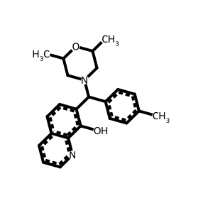 Cc1ccc(C(c2ccc3cccnc3c2O)N2CC(C)OC(C)C2)cc1